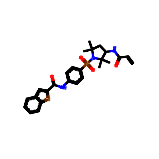 C=CC(=O)NC1CC(C)(C)N(S(=O)(=O)c2ccc(NC(=O)c3cc4ccccc4s3)cc2)C1(C)C